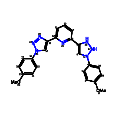 COc1ccc(N2C=C(c3cccc(-c4cn(-c5ccc(OC)cc5)nn4)n3)NN2)cc1